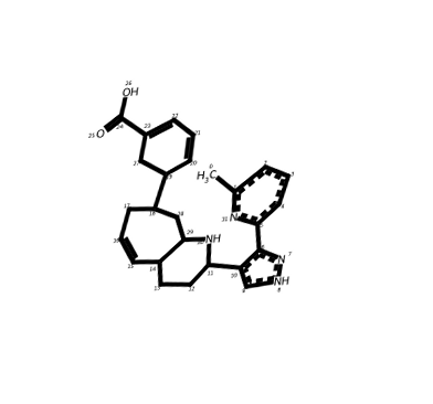 Cc1cccc(-c2n[nH]cc2C2CCC3C=CCC(C4C=CC=C(C(=O)O)C4)CC3N2)n1